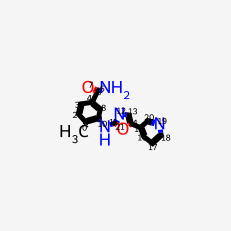 Cc1ccc(C(N)=O)cc1Nc1ncc(-c2cccnc2)o1